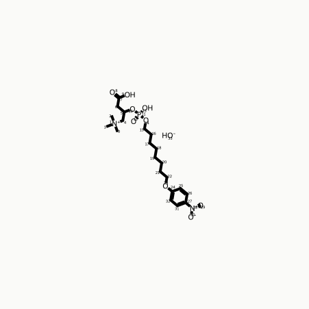 C[N+](C)(C)CC(CC(=O)O)OP(=O)(O)OCCCCCCCCOc1ccc([N+](=O)[O-])cc1.[OH-]